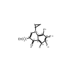 CCOC(=O)c1cn(C2CC2)c2c(F)c(F)c(F)c(C)c2c1=O